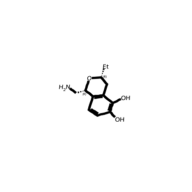 CC[C@@H]1Cc2c(ccc(O)c2O)[C@H](CN)O1